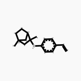 C=Cc1ccc(OC2(C)CC3(C)CCC2C3)cc1